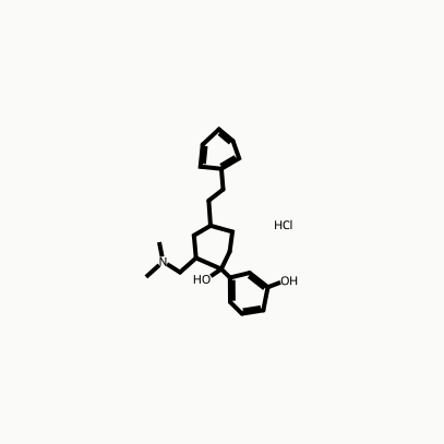 CN(C)CC1CC(CCc2ccccc2)CCC1(O)c1cccc(O)c1.Cl